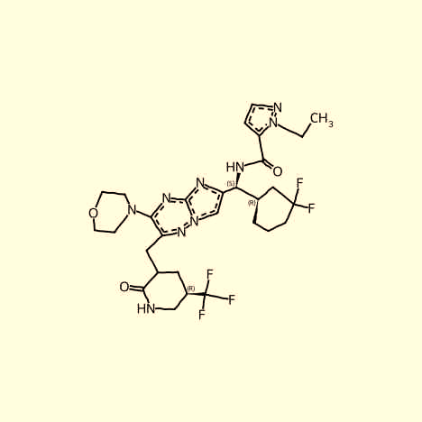 CCn1nccc1C(=O)N[C@H](c1cn2nc(CC3C[C@@H](C(F)(F)F)CNC3=O)c(N3CCOCC3)nc2n1)[C@@H]1CCCC(F)(F)C1